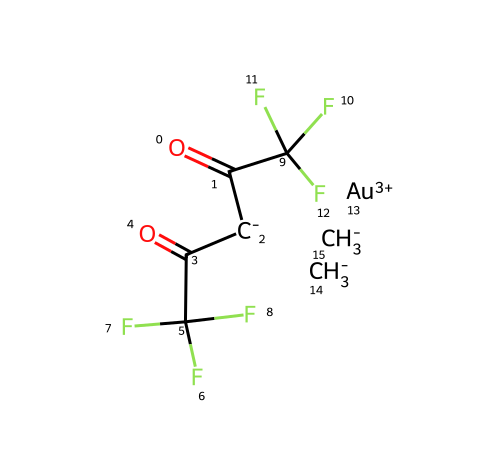 O=C([CH-]C(=O)C(F)(F)F)C(F)(F)F.[Au+3].[CH3-].[CH3-]